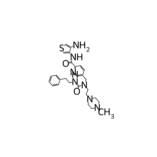 CN1CCN(CCN(Cc2ccc(C(=O)Nc3cscc3N)nc2)C(=O)NCCc2ccccc2)CC1